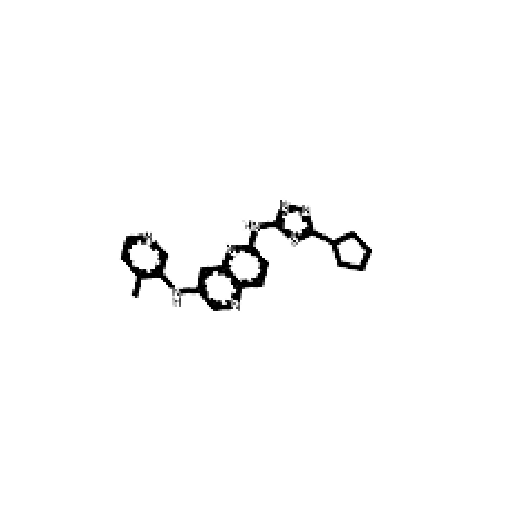 Cc1ccncc1Nc1cnc2ccc(Nc3nnc(C4CCCC4)s3)nc2c1